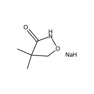 CC1(C)CONC1=O.[NaH]